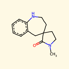 CN1CCC2(CCNc3ccccc3C2)C1=O